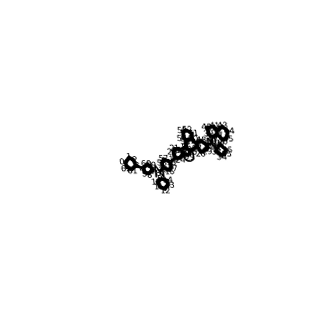 c1ccc(-c2ccc(N(c3ccccc3)c3ccc(-c4ccc5c(c4)oc4c6ccc(N(c7ccccc7)c7cccc8ccccc78)cc6c6ccccc6c54)cc3)cc2)cc1